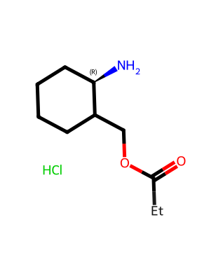 CCC(=O)OCC1CCCC[C@H]1N.Cl